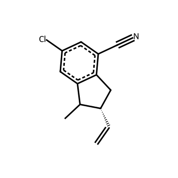 C=C[C@H]1Cc2c(C#N)cc(Cl)cc2C1C